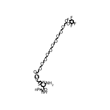 CCCN(CCC)C(=O)C1=Cc2sc(CN3CCN(C(=O)CCOCCOCCOCCOCCOCCOCCOCCOCCOCCOCCC(=O)Oc4c(F)c(F)cc(F)c4F)CC3)cc2N=C(N)C1